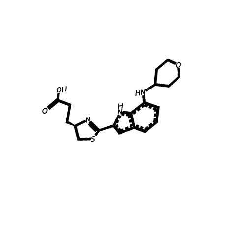 O=C(O)CC[C@@H]1CSC(c2cc3cccc(NC4CCOCC4)c3[nH]2)=N1